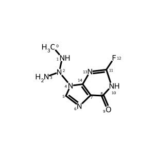 CNN(N)n1cnc2c(=O)[nH]c(F)nc21